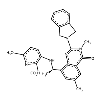 Cc1cc([C@@H](C)Nc2ccc(C)nc2C(=O)O)c2nc(N3Cc4ccccc4C3)n(C)c(=O)c2c1